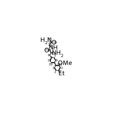 CCc1ccc(-c2ccc(C[C@H](N)C(=O)NCC(N)=O)cc2)c(OC)c1